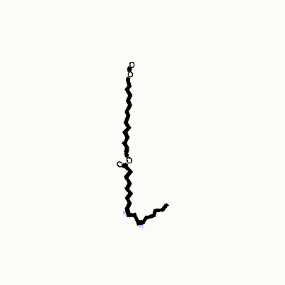 CCCCC/C=C\C/C=C\CCCCCCCC(=O)OCCCCCCCCCCCCCCCOC=O